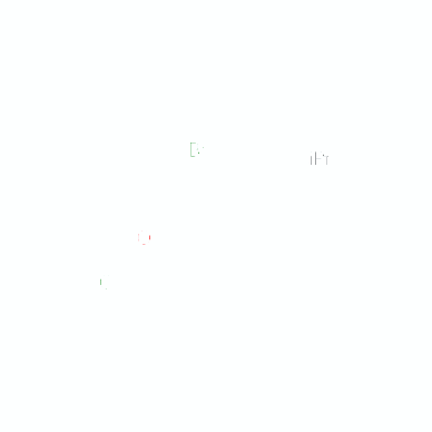 CC(C)CC(Br)COCl